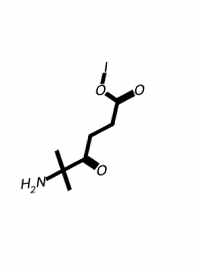 CC(C)(N)C(=O)CCC(=O)OI